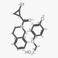 CCC1CC1C(=O)N1CCc2ccccc2[C@H]1c1cc(Cl)ccc1OCC(=O)O